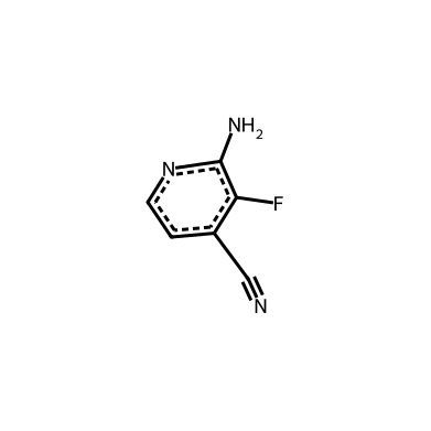 N#Cc1ccnc(N)c1F